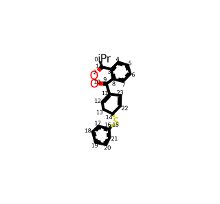 CC(C)C(=O)c1ccccc1C(=O)C1=CCC(Sc2ccccc2)C=C1